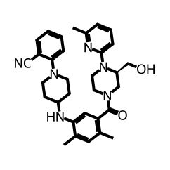 Cc1cccc(N2CCN(C(=O)c3cc(NC4CCN(c5ccccc5C#N)CC4)c(C)cc3C)C[C@@H]2CO)n1